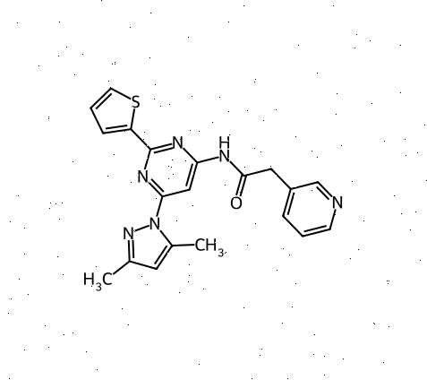 Cc1cc(C)n(-c2cc(NC(=O)Cc3cccnc3)nc(-c3cccs3)n2)n1